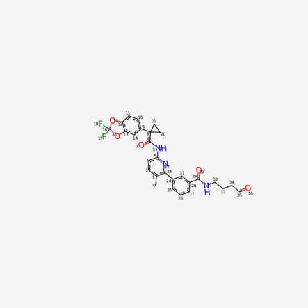 Cc1ccc(NC(=O)C2(c3ccc4c(c3)OC(F)(F)O4)CC2)nc1-c1cccc(C(=O)NCCCC=O)c1